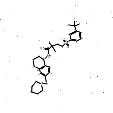 CC(C)(CCS(=O)(=O)c1cccc(C(F)(F)F)c1)C(=O)N[C@@H]1CCCc2cc(CN3CCCCC3)ccc21